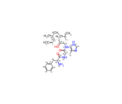 C=C[C@@H](C[C@H](O)[C@H](CC(C)C)NC(=O)[C@H](Cc1c[nH]cn1)NC(=O)[C@@H](N)Cc1ccccc1)C(C)C